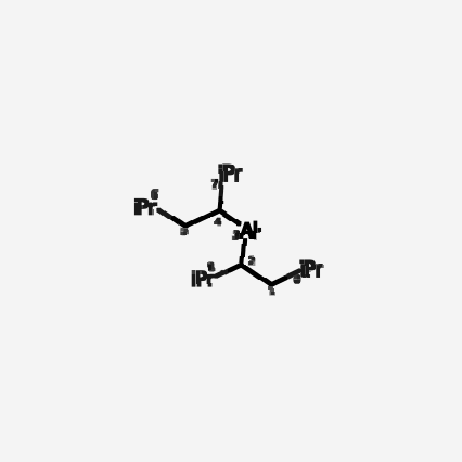 CC(C)C[CH]([Al][CH](CC(C)C)C(C)C)C(C)C